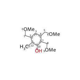 COCc1cc(COC)c(COC)c(O)c1C